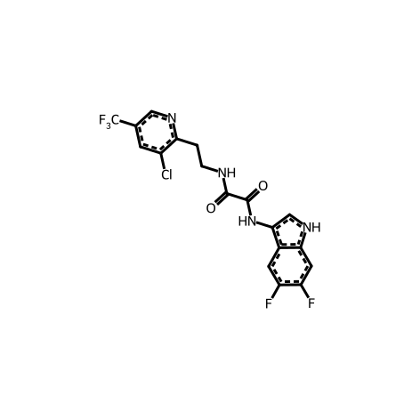 O=C(NCCc1ncc(C(F)(F)F)cc1Cl)C(=O)Nc1c[nH]c2cc(F)c(F)cc12